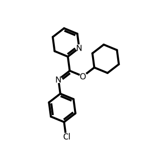 Clc1ccc(N=C(OC2CCCCC2)C2=NC=CCC2)cc1